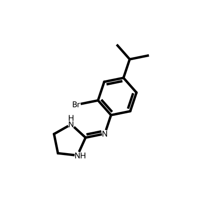 CC(C)c1ccc(N=C2NCCN2)c(Br)c1